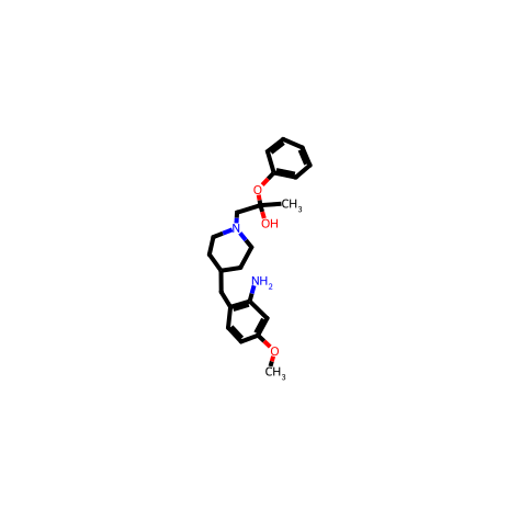 COc1ccc(CC2CCN(CC(C)(O)Oc3ccccc3)CC2)c(N)c1